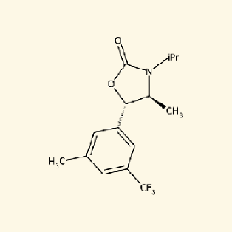 Cc1cc([C@@H]2OC(=O)N(C(C)C)[C@H]2C)cc(C(F)(F)F)c1